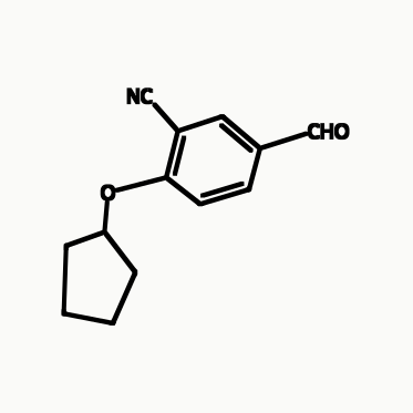 N#Cc1cc(C=O)ccc1OC1CCCC1